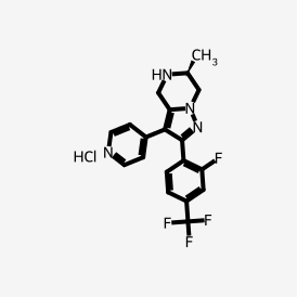 C[C@H]1Cn2nc(-c3ccc(C(F)(F)F)cc3F)c(-c3ccncc3)c2CN1.Cl